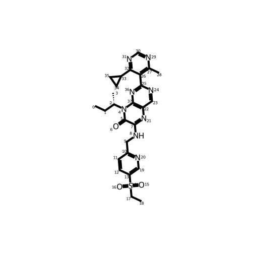 CC[C@H](C)n1c(=O)c(NCc2ccc(S(=O)(=O)CC)cn2)nc2cnc(-c3c(C)ncnc3C3CC3)nc21